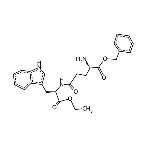 CCOC(=O)[C@@H](Cc1c[nH]c2ccccc12)NC(=O)CC[C@@H](N)C(=O)OCc1ccccc1